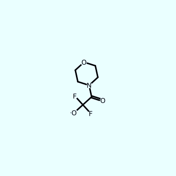 [O]C(F)(F)C(=O)N1CCOCC1